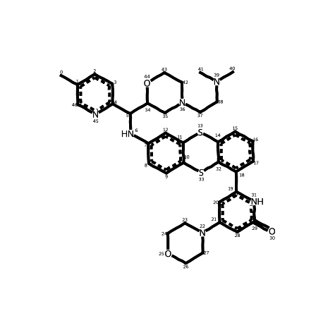 Cc1ccc(C(Nc2ccc3c(c2)Sc2cccc(-c4cc(N5CCOCC5)cc(=O)[nH]4)c2S3)C2CN(CCN(C)C)CCO2)nc1